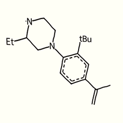 C=C(C)c1ccc(N2CC[N]C(CC)C2)c(C(C)(C)C)c1